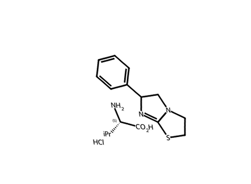 CC(C)[C@H](N)C(=O)O.Cl.c1ccc(C2CN3CCSC3=N2)cc1